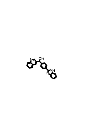 OC(c1ccc(-c2nc3ccccc3[nH]2)cc1)c1cnc2ccccc2c1